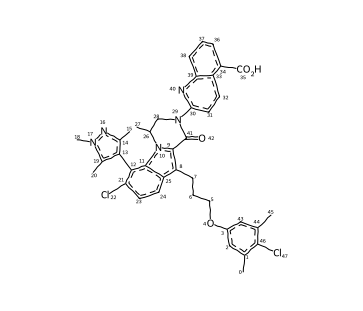 Cc1cc(OCCCc2c3n(c4c(-c5c(C)nn(C)c5C)c(Cl)ccc24)C(C)CN(c2ccc4c(C(=O)O)cccc4n2)C3=O)cc(C)c1Cl